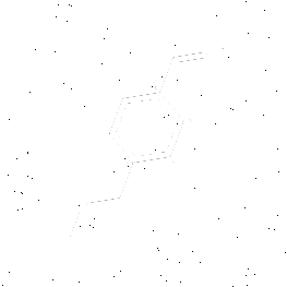 COCc1ccc(C=O)cc1